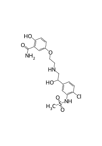 CS(=O)(=O)Nc1cc(C(O)CNCCOc2ccc(O)c(C(N)=O)c2)ccc1Cl